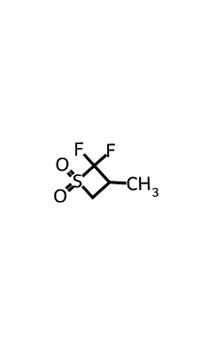 CC1CS(=O)(=O)C1(F)F